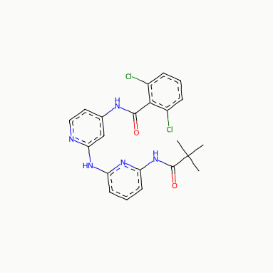 CC(C)(C)C(=O)Nc1cccc(Nc2cc(NC(=O)c3c(Cl)cccc3Cl)ccn2)n1